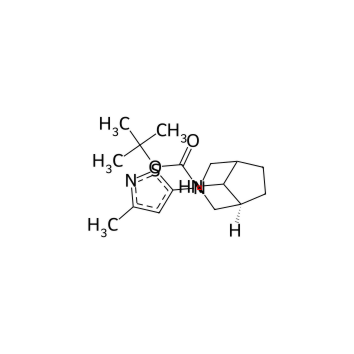 Cc1cc(N2CC3CC[C@@H](C2)C3NC(=O)OC(C)(C)C)sn1